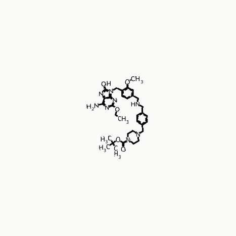 CCOc1nc(N)c2nc(O)n(Cc3ccc(CNCc4ccc(CN5CCN(C(=O)OC(C)(C)C)CC5)cc4)cc3OC)c2n1